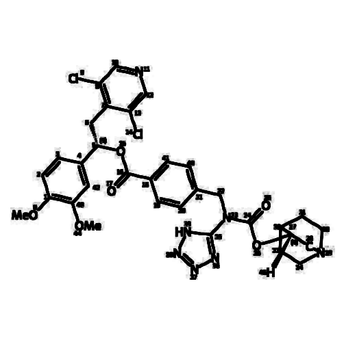 COc1ccc([C@H](Cc2c(Cl)cncc2Cl)OC(=O)c2ccc(CN(C(=O)O[C@H]3CN4CCC3CC4)c3nnn[nH]3)cc2)cc1OC